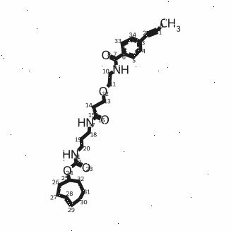 CC#Cc1ccc(C(=O)NCCOCCC(=O)NCCCNC(=O)OC2CC/C=C/CCC2)cc1